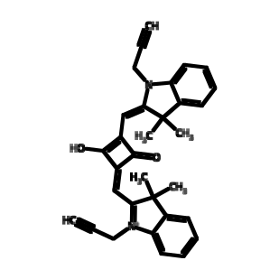 C#CCN1/C(=C/C2=C(O)C(=C/C3=[N+](CC#C)c4ccccc4C3(C)C)/C2=O)C(C)(C)c2ccccc21